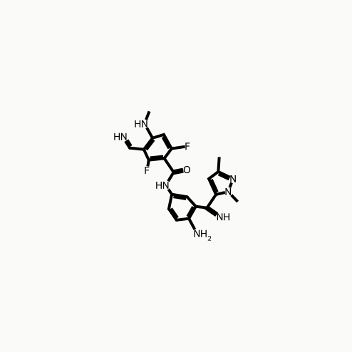 CNc1cc(F)c(C(=O)Nc2ccc(N)c(C(=N)c3cc(C)nn3C)c2)c(F)c1C=N